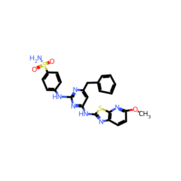 COc1ccc2nc(Nc3cc(Cc4ccccc4)nc(Nc4ccc(S(N)(=O)=O)cc4)n3)sc2n1